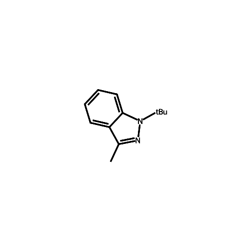 Cc1nn(C(C)(C)C)c2ccccc12